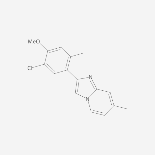 COc1cc(C)c(-c2cn3ccc(C)cc3n2)cc1Cl